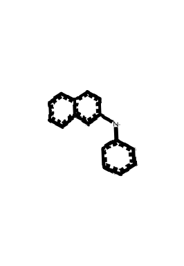 [c]1c([N]c2ccccc2)ccc2ccccc12